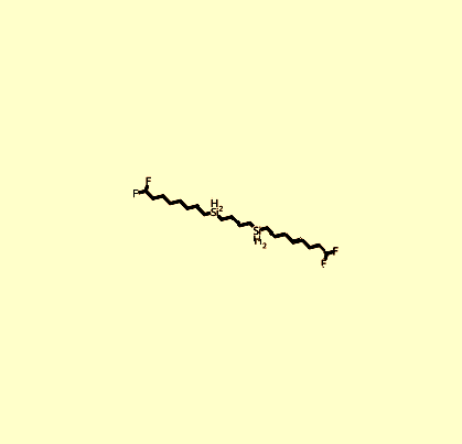 FC(F)CCCCCCC[SiH2]CCCC[SiH2]CCCCCCCC(F)F